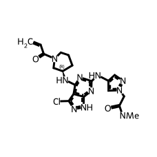 C=CC(=O)N1CCC[C@@H](Nc2nc(Nc3cnn(CC(=O)NC)c3)nc3[nH]nc(Cl)c23)C1